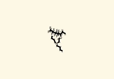 CCCCN(CCCC)CCOC(C(C)C)C(F)(F)C(F)(F)C(F)(F)C(F)F